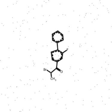 CC(Br)C(=O)c1ccc(-c2ccccc2)c(F)c1